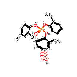 Cc1ccccc1OP(=O)(Oc1ccccc1C)Oc1ccccc1C.[Al+3].[OH-].[OH-].[OH-]